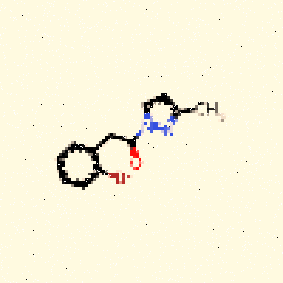 Cc1ccn(C(=O)Cc2ccccc2Br)n1